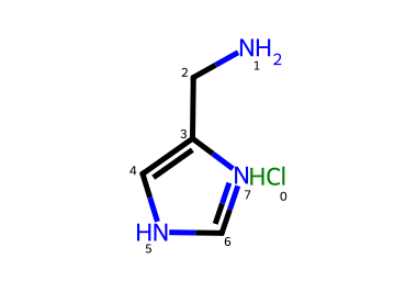 Cl.NCc1c[nH]cn1